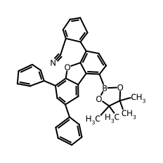 CC1(C)OB(c2ccc(-c3ccccc3C#N)c3oc4c(-c5ccccc5)cc(-c5ccccc5)cc4c23)OC1(C)C